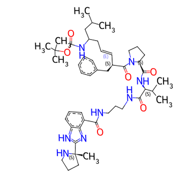 CC(C)CC(C/C=C/[C@H](Cc1ccccc1)C(=O)N1CCC[C@H]1C(=O)N[C@H](C(=O)NCCCNC(=O)c1cccc2[nH]c([C@]3(C)CCCN3)nc12)C(C)C)NC(=O)OC(C)(C)C